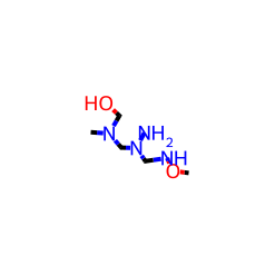 CONCN(N)CN(C)CO